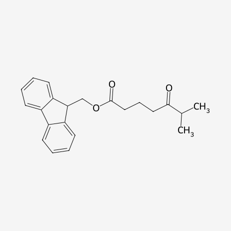 CC(C)C(=O)CCCC(=O)OCC1c2ccccc2-c2ccccc21